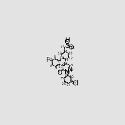 O=c1c(-c2ccc(F)cc2)c(-c2ccc(C[SH](=O)=O)cc2)cnn1-c1cccc(Cl)c1